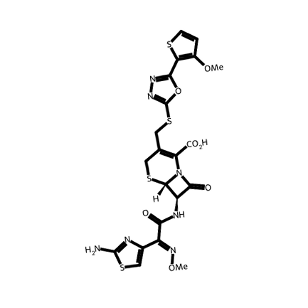 CON=C(C(=O)N[C@@H]1C(=O)N2C(C(=O)O)=C(CSc3nnc(-c4sccc4OC)o3)CS[C@@H]12)c1csc(N)n1